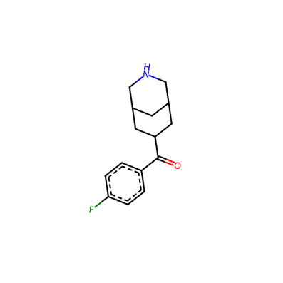 O=C(c1ccc(F)cc1)C1CC2CNCC(C2)C1